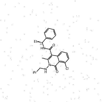 CC[C@H](NC(=O)c1c(C)n(NCC(C)C)c(=O)c2c(Cl)cccc12)c1ccccc1